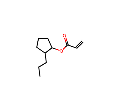 C=CC(=O)OC1CCCC1CCC